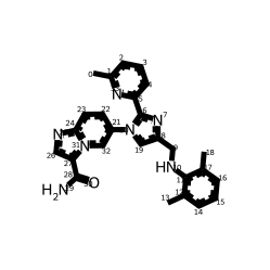 Cc1cccc(-c2nc(CNc3c(C)cccc3C)cn2-c2ccc3ncc(C(N)=O)n3c2)n1